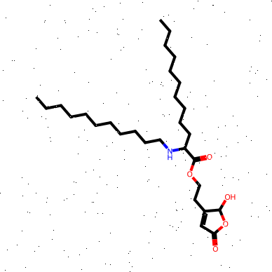 CCCCCCCCCCCNC(CCCCCCCCCC)C(=O)OCCC1=CC(=O)OC1O